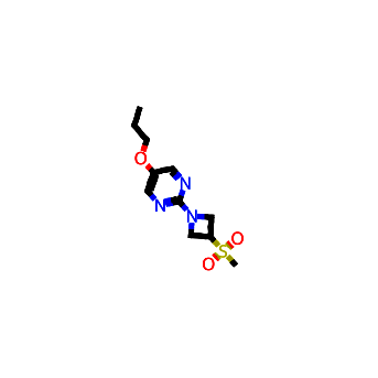 CCCOc1cnc(N2CC(S(C)(=O)=O)C2)nc1